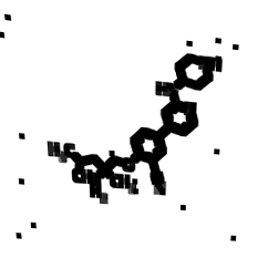 CC(C)CC(C)(N)COc1ccc(-c2ccnc(NC3CCNCC3)c2)cc1C#N